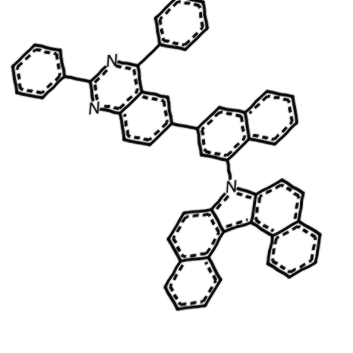 c1ccc(-c2nc(-c3ccccc3)c3cc(-c4cc(-n5c6ccc7ccccc7c6c6c7ccccc7ccc65)c5ccccc5c4)ccc3n2)cc1